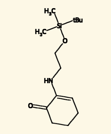 CC(C)(C)[Si](C)(C)OCCNC1=CCCCC1=O